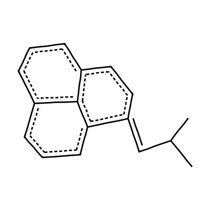 CC(C)C=c1ccc2cccc3cccc1c32